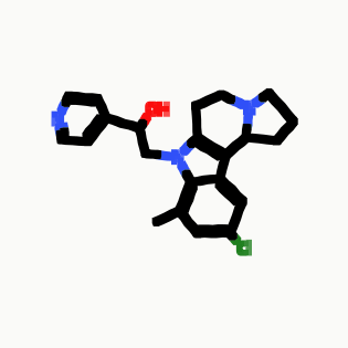 Cc1cc(Cl)cc2c3c(n(CC(O)c4ccncc4)c12)CCN1CCCC31